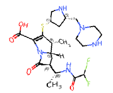 C[C@@H](NC(=O)C(F)F)[C@H]1C(=O)N2C(C(=O)O)=C(S[C@@H]3CN[C@H](CN4CCNCC4)C3)[C@H](C)[C@H]12